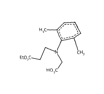 CCOC(=O)CCN(CC(=O)O)c1c(C)cccc1C